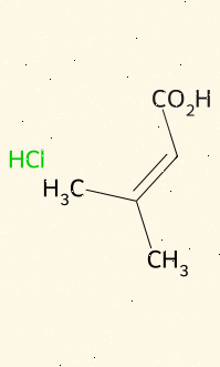 CC(C)=CC(=O)O.Cl